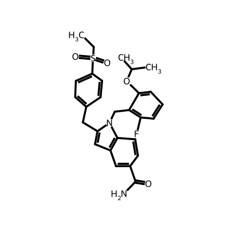 CCS(=O)(=O)c1ccc(Cc2cc3cc(C(N)=O)ccc3n2Cc2c(F)cccc2OC(C)C)cc1